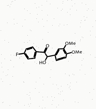 COc1ccc(C(O)C(=O)c2ccc(F)cc2)cc1OC